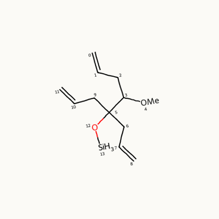 C=CCC(OC)C(CC=C)(CC=C)O[SiH3]